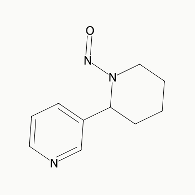 O=NN1CCCCC1c1cccnc1